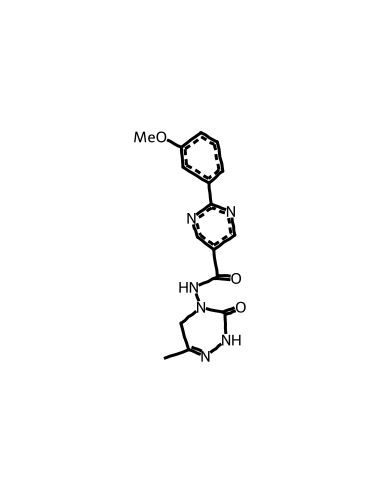 COc1cccc(-c2ncc(C(=O)NN3CC(C)=NNC3=O)cn2)c1